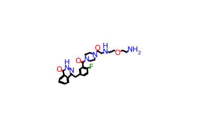 NCCOCCNCC(=O)N1CCN(C(=O)c2cc(Cc3n[nH]c(=O)c4ccccc34)ccc2F)CC1